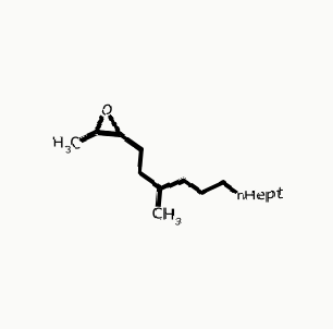 CCCCCCCCCCC(C)CCC1OC1C